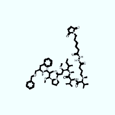 CCC(C)C(C(CC(=O)N1CCC[C@H]1C(OC)C(C)C(=O)NC(COCc1ccccc1)Cc1ccccc1)OC)N(C)C(=O)C(NC(=O)C(C(C)C)N(C)CCCC(=O)NNC(=O)CCCCCN1C(=O)C=CC1=O)C(C)C